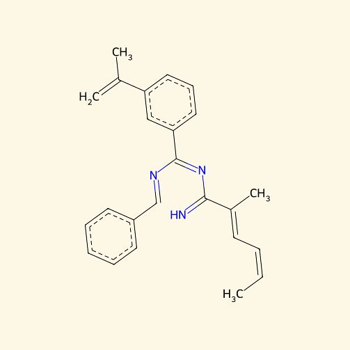 C=C(C)c1cccc(C(=N/C(=N)/C(C)=C/C=C\C)/N=C/c2ccccc2)c1